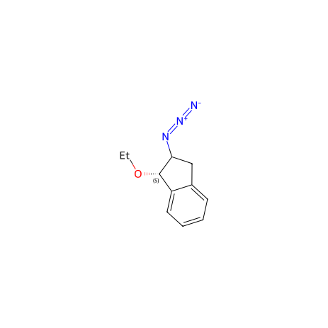 CCO[C@H]1c2ccccc2CC1N=[N+]=[N-]